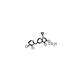 O=C(O)Oc1cn(C2CC2)c2ccc(Cc3cccc(Cl)c3Cl)cc2c1=O